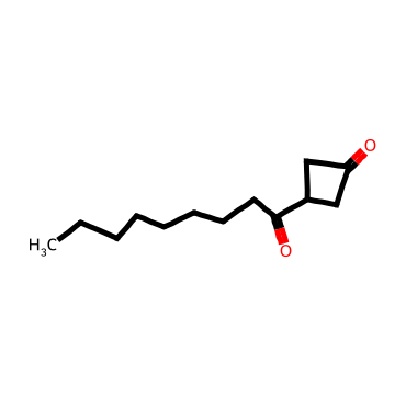 CCCCCCCCC(=O)C1CC(=O)C1